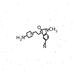 CN1CC(=O)N(CCN2CCC(N)CC2)c2cc(C#N)ccc21